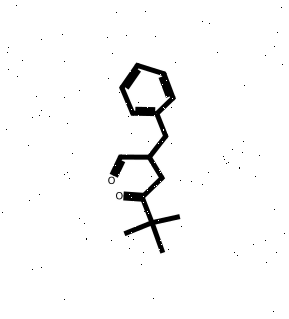 CC(C)(C)C(=O)CC(C=O)Cc1ccccc1